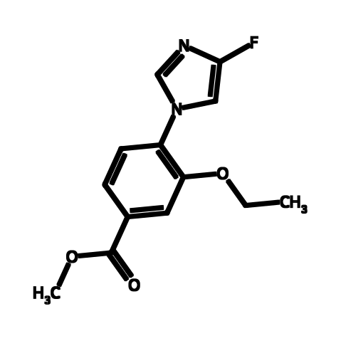 CCOc1cc(C(=O)OC)ccc1-n1cnc(F)c1